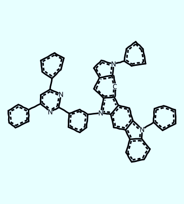 c1ccc(-c2cc(-c3ccccc3)nc(-c3cccc(-n4c5cc6ccn(-c7ccccc7)c6cc5c5cc6c(cc54)c4ccccc4n6-c4ccccc4)c3)n2)cc1